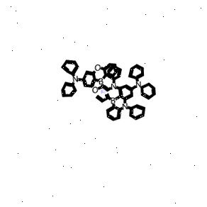 C=CC(=C)B1c2ccccc2N(c2ccccc2)c2cc(N(c3ccccc3)C3C=CC=CC3)cc(N(/C=C3/Oc4cc(N(c5ccccc5)c5ccccc5)cc5c4B3c3ccccc3O5)c3ccccc3)c21